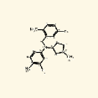 Cc1ccc(F)cc1CN(c1ccc(C#N)c(Cl)c1)[C@H]1CCN(C)C1